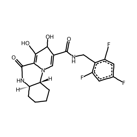 O=C(NCc1c(F)cc(F)cc1F)C1=CN2C(=C(O)C1O)C(=O)N[C@@H]1CCCC[C@H]12